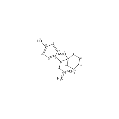 COC1(C(CN(C)C)c2ccc(O)cc2)CCCCC1